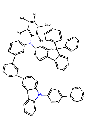 [2H]c1c([2H])c([2H])c(N(c2cccc(-c3cccc(-c4ccc5c(c4)c4ccccc4n5-c4ccc(-c5ccccc5)cc4)c3)c2)c2ccc3c(c2)C(c2ccccc2)(c2ccccc2)c2ccccc2-3)c([2H])c1[2H]